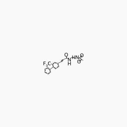 CS(=O)(=O)NCCNC(=O)C#Cc1ccc(-c2ccccc2)c(C(F)(F)F)c1